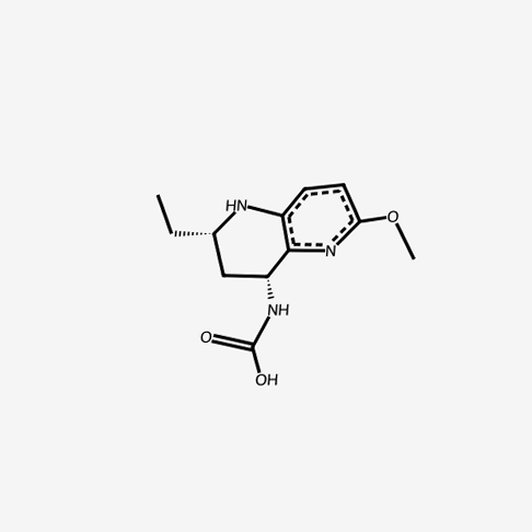 CC[C@H]1C[C@@H](NC(=O)O)c2nc(OC)ccc2N1